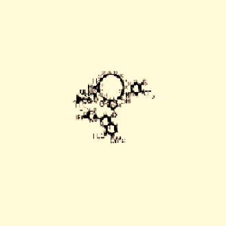 COc1ccc2c(O[C@@H]3C[C@H]4C(=O)N[C@]5(C(=O)NS(=O)(=O)C6(C)CC6)C[C@H]5CCCCCCC[C@H](Nc5ccc(F)c(C(F)(F)F)c5)C(=O)N4C3)cc(-c3nc(C(C)C)cs3)nc2c1C